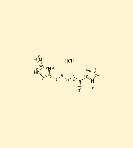 Cl.Cn1cccc1C(=O)NCCCc1c[nH]c(N)n1